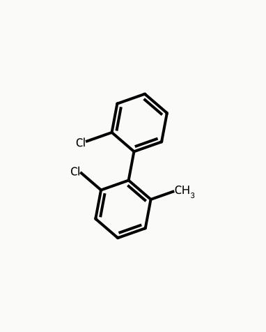 Cc1cccc(Cl)c1-c1ccccc1Cl